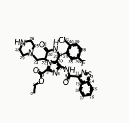 CCOC(=O)c1nc(NC(=O)c2nsc3ccccc23)c2n1C(CN1CCNCC1)C(=O)N[C@H]2c1cc(F)ccc1Cl